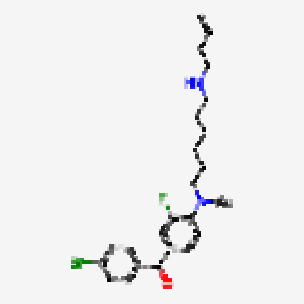 C=CCCNCCCCCCN(C(C)=O)c1ccc(C(=O)c2ccc(Br)cc2)cc1F